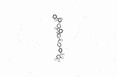 O=C1CC[C@@H](Nc2ccc(C3CCN(CC(=O)N4CCC5(CC4)CN(C(=O)C4(c6ccccc6)CCN(c6cnnc(-c7ccccc7O)c6)CC4)C5)CC3)cc2)C(=O)N1